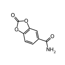 NC(=O)c1ccc2oc(=O)oc2c1